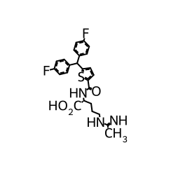 CC(=N)NCCC[C@H](NC(=O)c1ccc(C(c2ccc(F)cc2)c2ccc(F)cc2)s1)C(=O)O